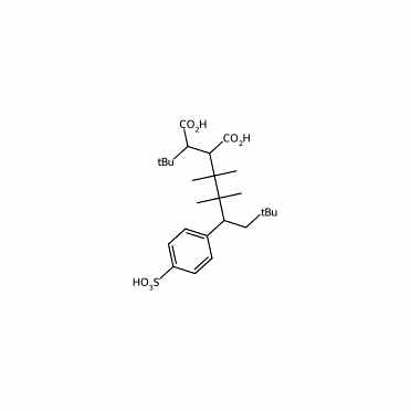 CC(C)(C)CC(c1ccc(S(=O)(=O)O)cc1)C(C)(C)C(C)(C)C(C(=O)O)C(C(=O)O)C(C)(C)C